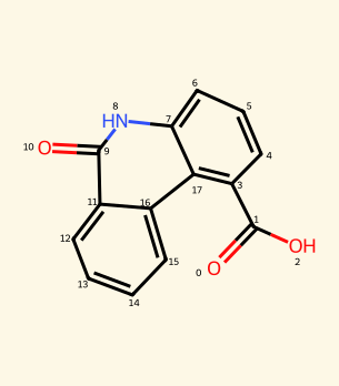 O=C(O)c1cccc2[nH]c(=O)c3ccccc3c12